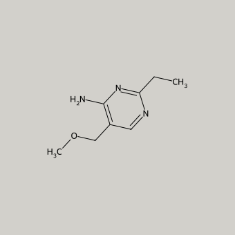 CCc1ncc(COC)c(N)n1